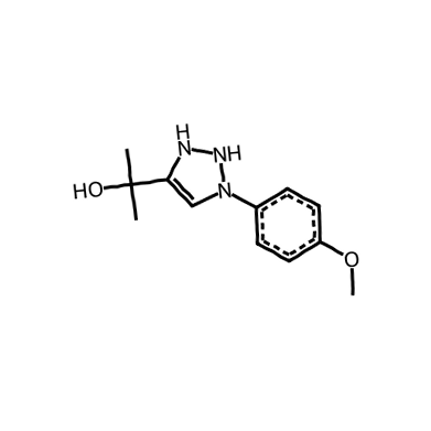 COc1ccc(N2C=C(C(C)(C)O)NN2)cc1